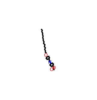 CCCCCCCCCCCCCCCCCCOc1ccc(C=Nc2ccc(OC(C)=O)cc2)cc1